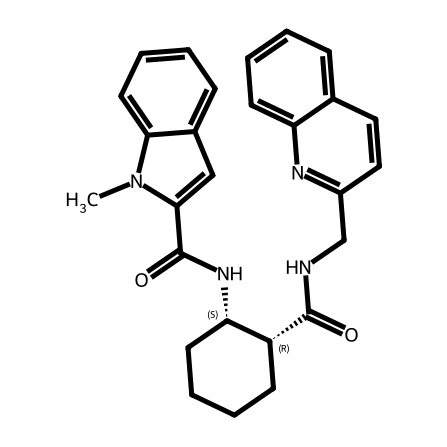 Cn1c(C(=O)N[C@H]2CCCC[C@H]2C(=O)NCc2ccc3ccccc3n2)cc2ccccc21